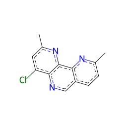 Cc1ccc2cnc3c(Cl)cc(C)nc3c2n1